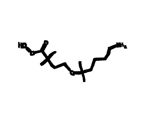 CC(C)(CCCCN)OCCC(C)(C)C(=O)OO